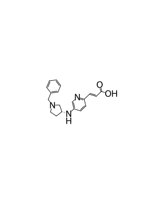 O=C(O)/C=C/c1ccc(N[C@@H]2CCN(Cc3ccccc3)C2)cn1